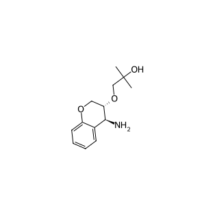 CC(C)(O)CO[C@H]1COc2ccccc2[C@@H]1N